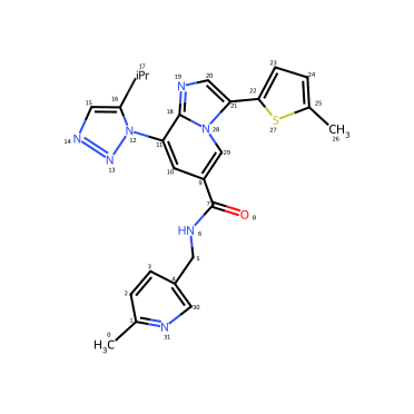 Cc1ccc(CNC(=O)c2cc(-n3nncc3C(C)C)c3ncc(-c4ccc(C)s4)n3c2)cn1